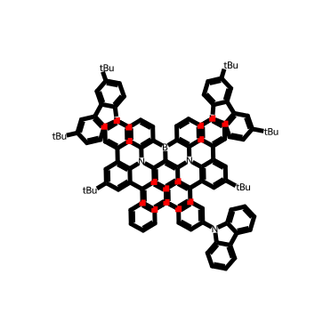 CC(C)(C)c1cc(-c2ccccc2)c(N2c3cc(-n4c5ccc(C(C)(C)C)cc5c5cc(C(C)(C)C)ccc54)ccc3B3c4ccc(-n5c6ccc(C(C)(C)C)cc6c6cc(C(C)(C)C)ccc65)cc4N(c4c(-c5ccccc5)cc(C(C)(C)C)cc4-c4ccccc4)c4cc(N(c5ccccc5)c5ccc(-n6c7ccccc7c7ccccc76)cc5)cc2c43)c(-c2ccccc2)c1